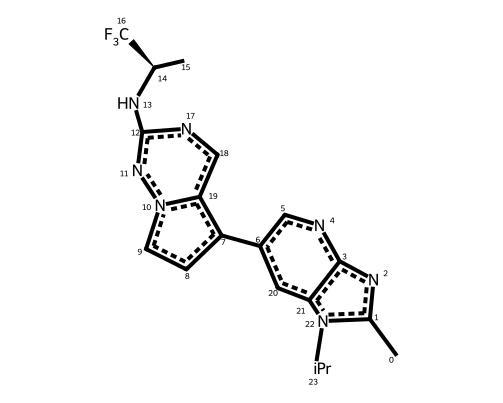 Cc1nc2ncc(-c3ccn4nc(N[C@H](C)C(F)(F)F)ncc34)cc2n1C(C)C